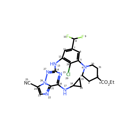 CCOC(=O)C1CCN(c2cc(C(F)F)cc(Nc3nc(NC4CC4)c4ncc(C#N)n4n3)c2Cl)CC1